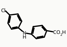 O=C(O)c1ccc(Nc2ccc(Cl)cc2)cc1